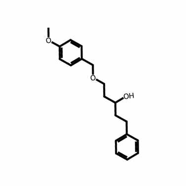 COc1ccc(COCCC(O)CCc2ccccc2)cc1